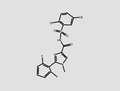 Cn1cc(C(=O)NS(=O)(=O)c2cc(C#N)ccc2Cl)nc1-c1c(F)cccc1F